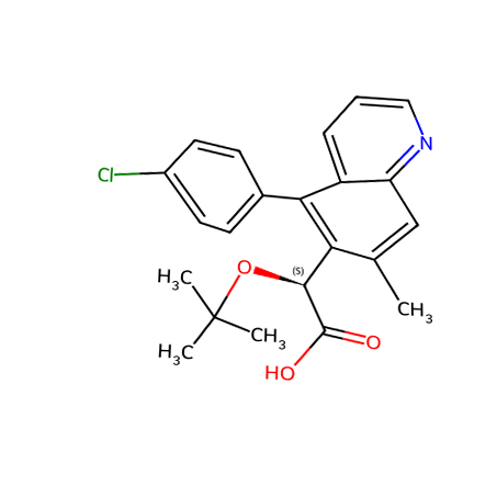 Cc1cc2ncccc2c(-c2ccc(Cl)cc2)c1[C@H](OC(C)(C)C)C(=O)O